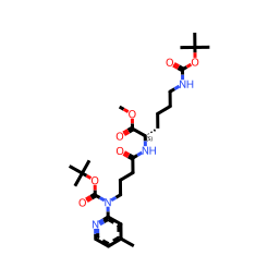 COC(=O)[C@H](CCCCNC(=O)OC(C)(C)C)NC(=O)CCCN(C(=O)OC(C)(C)C)c1cc(C)ccn1